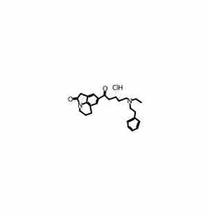 CCN(CCCCC(=O)c1cc2c3c(c1)CC(=O)N3CCC2)CCc1ccccc1.Cl